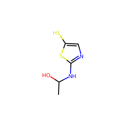 CC(O)Nc1ncc(S)s1